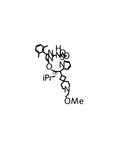 COCCN1CCC2(CC1)CC(C1c3cccc(n3)S(=O)(=O)Nc3nc(cc(-c4c(C)cccc4C)n3)OC[C@H]1CC(C)C)C2